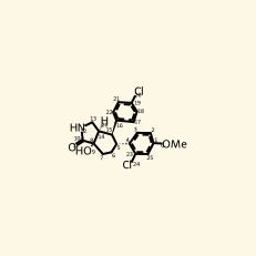 COc1ccc([C@@H]2CC[C@@]3(O)C(=O)NC[C@H]3[C@H]2c2ccc(Cl)cc2)c(Cl)c1